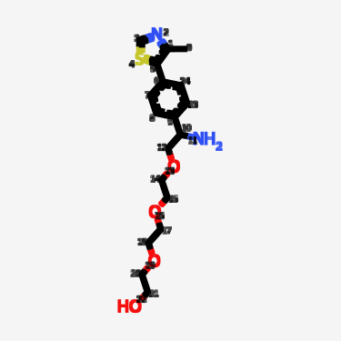 Cc1ncsc1-c1ccc(C(N)COCCOCCOCCO)cc1